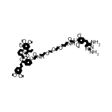 CCC(C(=O)N1CCCCC1C(=O)O[C@H](CCc1ccc(OC)c(OC)c1)c1cccc(OCC(=O)NCCCOCCOCCOCCCNC(=O)COc2c(OC)cc(Cc3cnc(N)nc3N)cc2OC)c1)c1cc(OC)c(OC)c(OC)c1